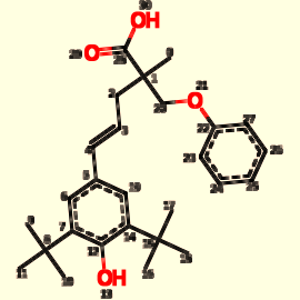 CC(C/C=C/c1cc(C(C)(C)C)c(O)c(C(C)(C)C)c1)(COc1ccccc1)C(=O)O